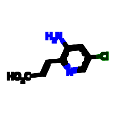 Nc1cc(Cl)cnc1C=CC(=O)O